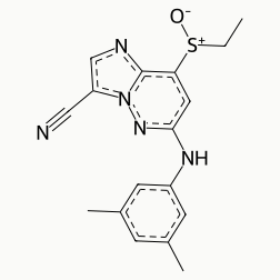 CC[S+]([O-])c1cc(Nc2cc(C)cc(C)c2)nn2c(C#N)cnc12